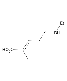 CCNCCC=C(C)C(=O)O